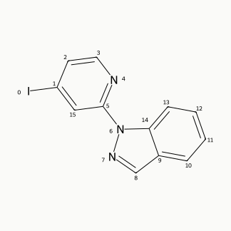 Ic1ccnc(-n2ncc3ccccc32)c1